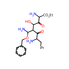 CCOC(=O)C(N)C(=O)C(O)C(C(=O)C(N)CC(C)C)C(N)OCc1ccccc1